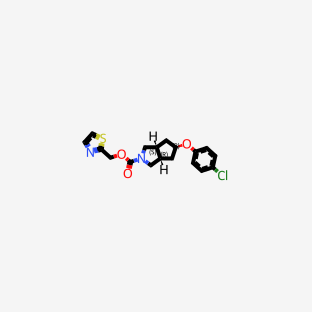 O=C(OCc1nccs1)N1C[C@H]2C[C@@H](Oc3ccc(Cl)cc3)C[C@H]2C1